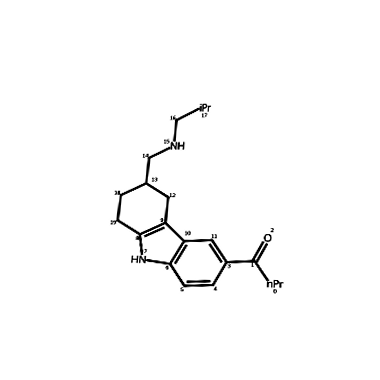 CCCC(=O)c1ccc2[nH]c3c(c2c1)CC(CNCC(C)C)CC3